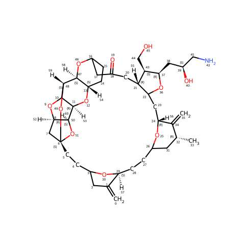 C=C1CC2CC[C@@]34C[C@H]5OC6[C@@H](O[C@H]7CCC(CC(=O)C[C@H]8C(C[C@H]9OC(CC[C@@H]1O2)C[C@@H](C)C9=C)O[C@H](C[C@H](O)CN)[C@@H]8CO)O[C@@H]7[C@@H]6O3)[C@H]5O4